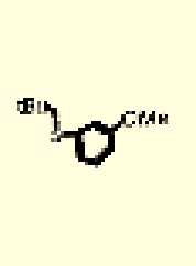 COc1cccc(SCC(C)(C)C)c1